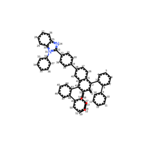 C=c1c(-c2ccccc2-c2ccccc2)c2ccc(-c3ccc(-c4nc5ccccc5n4-c4ccccc4)cc3)cc2c(-c2ccccc2-c2ccccc2)/c1=C/C=C\C